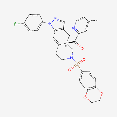 Cc1ccnc(C(=O)[C@]23Cc4cnn(-c5ccc(F)cc5)c4C=C2CCN(S(=O)(=O)c2ccc4c(c2)OCCO4)C3)c1